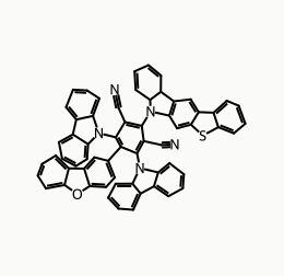 N#Cc1c(N2c3cc4sc5ccccc5c4cc3C3C=CC=CC32)c(C#N)c(-n2c3ccccc3c3ccccc32)c(-c2ccc3oc4ccccc4c3c2)c1-n1c2ccccc2c2ccccc21